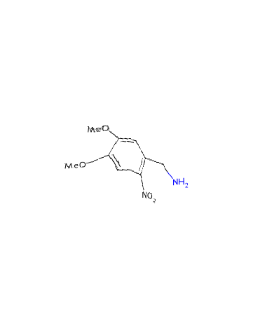 COc1cc(CN)c([N+](=O)[O-])cc1OC